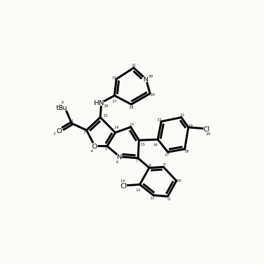 CC(C)(C)C(=O)c1oc2nc(-c3ccccc3Cl)c(-c3ccc(Cl)cc3)cc2c1Nc1ccncc1